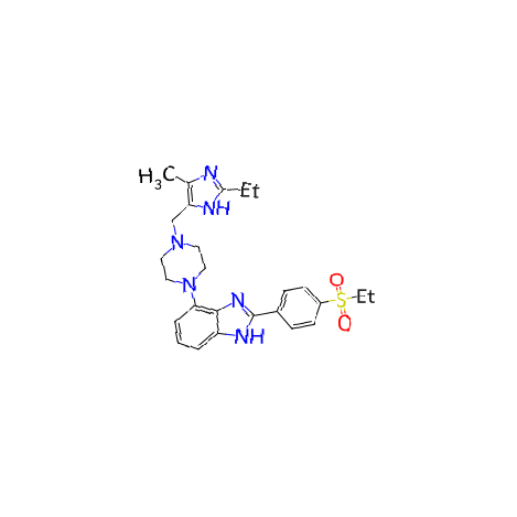 CCc1nc(C)c(CN2CCN(c3cccc4[nH]c(-c5ccc(S(=O)(=O)CC)cc5)nc34)CC2)[nH]1